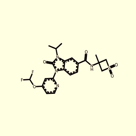 CC(C)n1c(=O)n(-c2cc(OC(F)F)ccn2)c2ccc(C(=O)NC3(C)CS(=O)(=O)C3)cc21